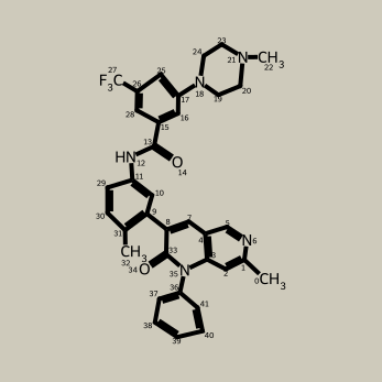 Cc1cc2c(cn1)cc(-c1cc(NC(=O)c3cc(N4CCN(C)CC4)cc(C(F)(F)F)c3)ccc1C)c(=O)n2-c1ccccc1